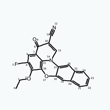 CCOc1c(F)cc2c(=O)c(C#N)cn3c2c1Oc1cc2ccccc2cc1-3